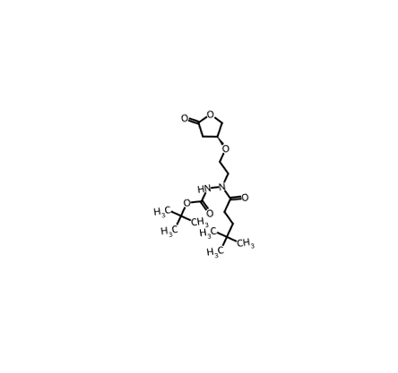 CC(C)(C)CCC(=O)N(CCO[C@@H]1COC(=O)C1)NC(=O)OC(C)(C)C